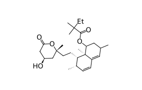 CCC(C)(C)C(=O)OC1CC(C)C=C2C=C[C@H](C)[C@H](CC[C@]3(C)C[C@@H](O)CC(=O)O3)[C@]21C